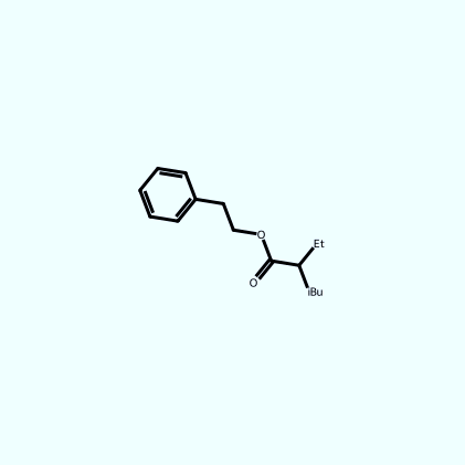 CCC(C)C(CC)C(=O)OCCc1ccccc1